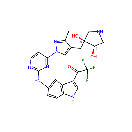 Cc1nn(-c2ccnc(Nc3ccc4[nH]cc(C(=O)C(F)(F)F)c4c3)n2)cc1C[C@]1(O)CNC[C@H]1O